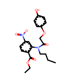 CCCCN(C(=O)COc1ccc(O)cc1)c1cc([N+](=O)[O-])ccc1C(=O)OCC